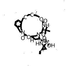 C=C[C@@H]1C[C@]1(NC(=O)[C@@H]1C[C@@H]2CN1C(=O)[C@H](C(C)(C)C)NC(=O)OC[C@@H](C)CCCCc1cccc3c1CN(C3)C(=O)O2)P(C)(=O)O